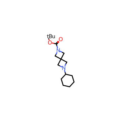 CC(C)(C)OC(=O)N1CC2(C1)CN(C1CCCCC1)C2